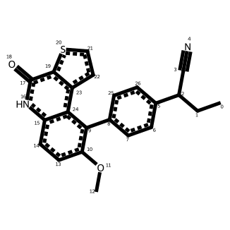 CCC(C#N)c1ccc(-c2c(OC)ccc3[nH]c(=O)c4sccc4c23)cc1